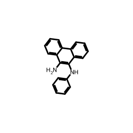 Nc1c(Nc2ccccc2)c2ccccc2c2ccccc12